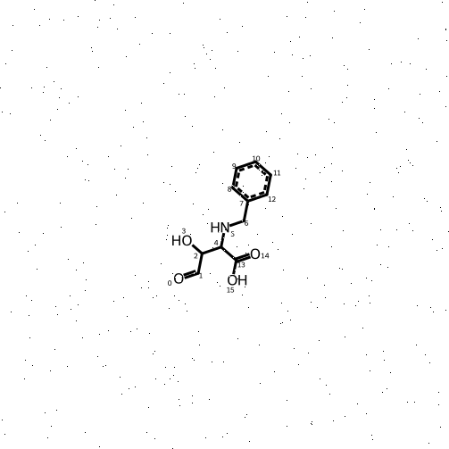 O=CC(O)C(NCc1ccccc1)C(=O)O